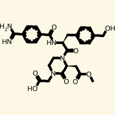 COC(=O)C[C@H]1C(=O)N(CC(=O)O)CCN1C(=O)[C@H](Cc1ccc(CO)cc1)NC(=O)c1ccc(C(=N)N)cc1